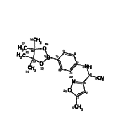 Cc1cc(C(C#N)Nc2ccc(B3OC(C)(C)C(C)(C)O3)cc2)no1